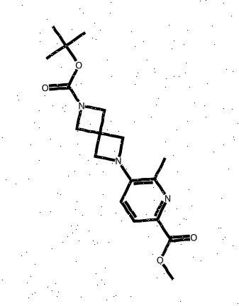 COC(=O)c1ccc(N2CC3(CN(C(=O)OC(C)(C)C)C3)C2)c(C)n1